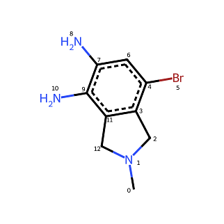 CN1Cc2c(Br)cc(N)c(N)c2C1